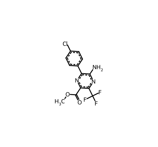 COC(=O)c1nc(-c2ccc(Cl)cc2)c(N)nc1C(F)(F)F